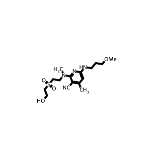 COCCCNc1cc(C)c(C#N)c(N(C)CCS(=O)(=O)CCO)n1